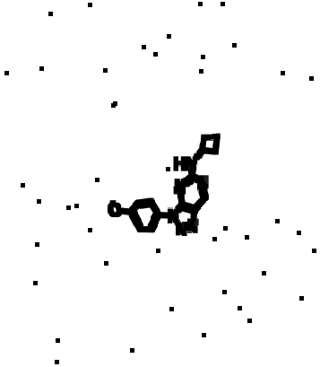 COc1ccc(-n2nnc3cnc(NC4CCC4)nc32)cc1